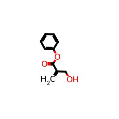 C=C(CO)C(=O)Oc1ccccc1